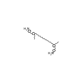 CCCCc1cc(Cc2ccc(N)cc2)ccc1CCCCCCCCCCCCCCCCCc1ccc(Cc2ccc(N)cc2)cc1CCCC